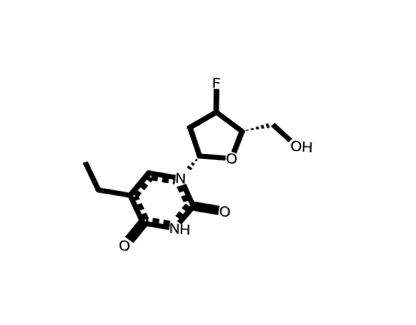 CCc1cn([C@@H]2CC(F)[C@H](CO)O2)c(=O)[nH]c1=O